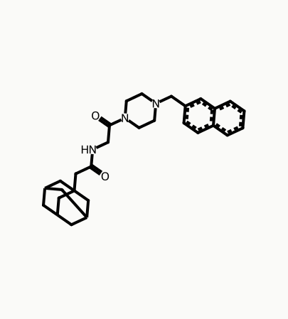 O=C(CC12CC3CC(CC(C3)C1)C2)NCC(=O)N1CCN(Cc2ccc3ccccc3c2)CC1